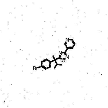 CC(C)C(C)(c1ccc(Br)cc1)c1nc(-c2cccnc2)no1